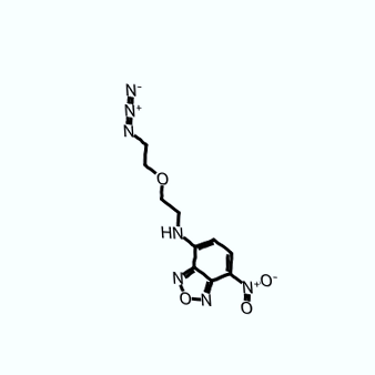 [N-]=[N+]=NCCOCCNc1ccc([N+](=O)[O-])c2nonc12